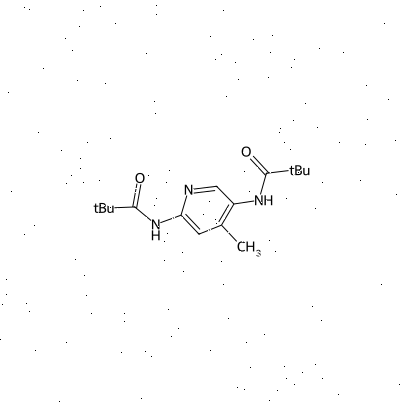 Cc1cc(NC(=O)C(C)(C)C)ncc1NC(=O)C(C)(C)C